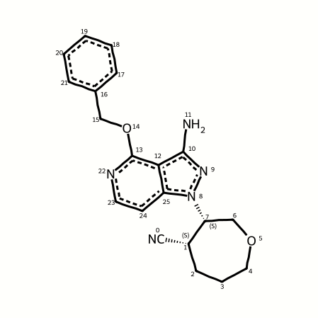 N#C[C@H]1CCCOC[C@H]1n1nc(N)c2c(OCc3ccccc3)nccc21